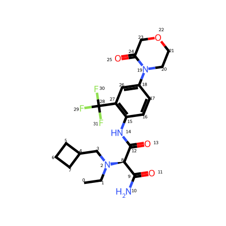 CCN(CC1CCC1)[C@H](C(N)=O)C(=O)Nc1ccc(N2CCOCC2=O)cc1C(F)(F)F